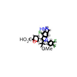 COCC(C)(C)c1c([C@@H]2CCC(C(=O)O)OC2)c2c(F)c3[nH]ncc3cc2n1-c1ccc(F)c(F)c1